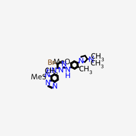 COc1cc(N2CCC(N(C)C)C2)c(C)cc1Nc1ncc(Br)c(Nc2ccc3nccnc3c2N(C)SC)n1